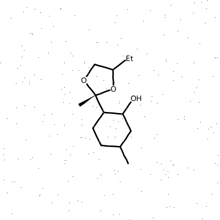 CCC1CO[C@@](C)(C2CCC(C)CC2O)O1